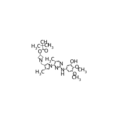 COc1cc(Nc2ncc(C)c(-n3cc(C)c(CN4CC(OC(=O)C(C)(C)C)C4)c3)n2)cc(O)c1OC